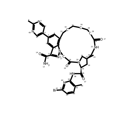 Cc1ncc(-c2cc3c4c(c2)c(C(N)=O)nn4CC(=O)N2C[C@](C)(CNC(=O)CCCCCC3)C[C@H]2C(=O)Nc2nc(Br)ccc2C)cn1